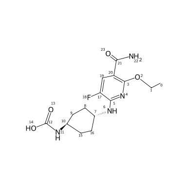 CCOc1nc(N[C@H]2CC[C@H](NC(=O)O)CC2)c(F)cc1C(N)=O